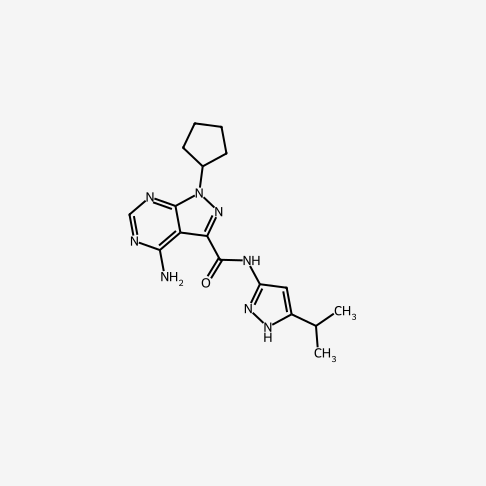 CC(C)c1cc(NC(=O)c2nn(C3CCCC3)c3ncnc(N)c23)n[nH]1